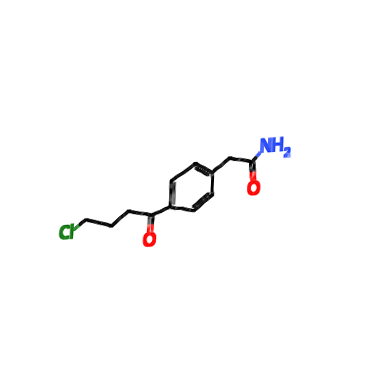 NC(=O)Cc1ccc(C(=O)CCCCl)cc1